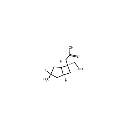 C[C@]1(F)C[C@@H]2C[C@](CN)(CC(=O)O)[C@@H]2C1